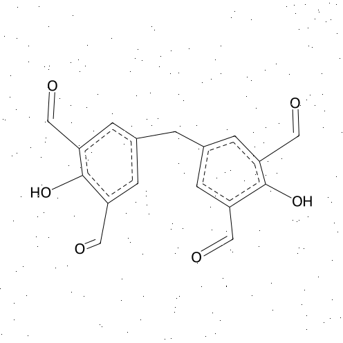 O=Cc1cc(Cc2cc(C=O)c(O)c(C=O)c2)cc(C=O)c1O